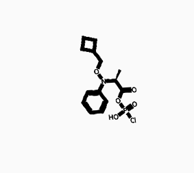 C[C@@H](C(=O)OP(=O)(O)Cl)N(OCC1CCC1)c1ccccc1